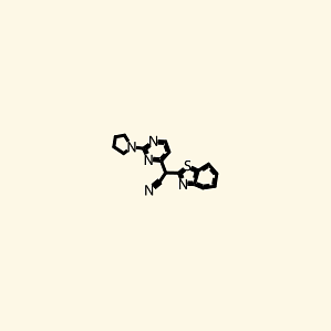 N#CC(c1ccnc(N2CCCC2)n1)c1nc2ccccc2s1